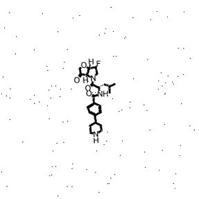 CC(C)C[C@H](NC(=O)c1ccc(C2CCNCC2)cc1)C(=O)N1C[C@H](F)[C@H]2OCC(=O)[C@H]21